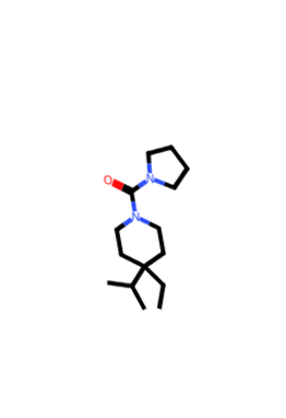 CCC1(C(C)C)CCN(C(=O)N2CCCC2)CC1